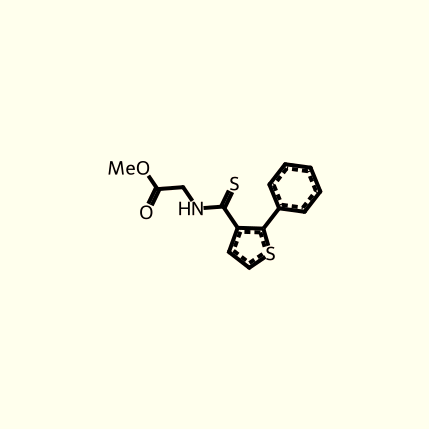 COC(=O)CNC(=S)c1ccsc1-c1ccccc1